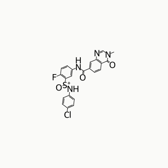 Cn1cnc2cc(C(=O)Nc3ccc(F)c([S+]([O-])Nc4ccc(Cl)cc4)c3)ccc2c1=O